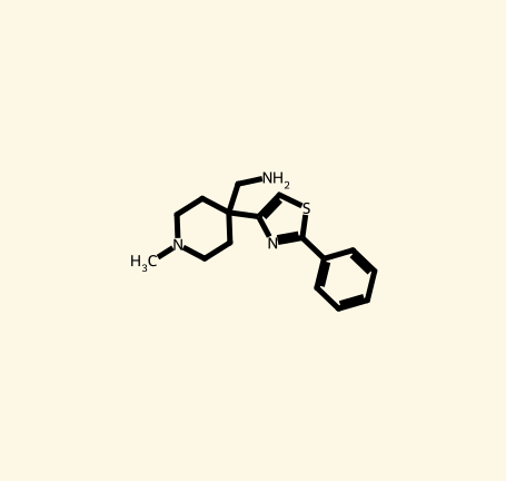 CN1CCC(CN)(c2csc(-c3ccccc3)n2)CC1